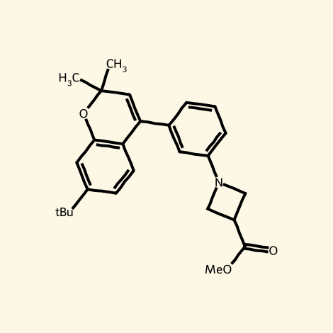 COC(=O)C1CN(c2cccc(C3=CC(C)(C)Oc4cc(C(C)(C)C)ccc43)c2)C1